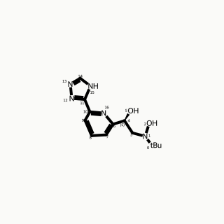 CC(C)(C)N(O)C[C@H](O)c1cccc(-c2nnc[nH]2)n1